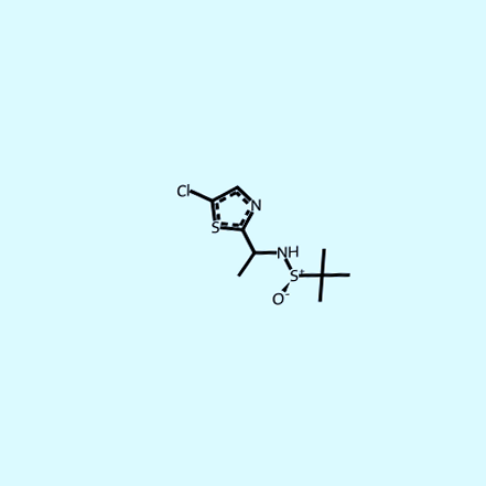 CC(N[S@+]([O-])C(C)(C)C)c1ncc(Cl)s1